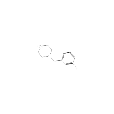 Fc1[c]c(CN2CCNCC2)ccc1